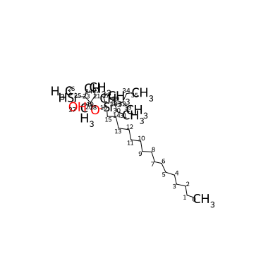 CCCCCCCCCCCCCCCC[Si](C)(OC(C)(CC)C(C)[SiH](C)O)C(C)(CC)C(C)CC